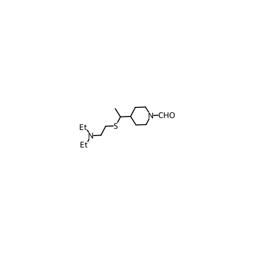 CCN(CC)CCSC(C)C1CCN(C=O)CC1